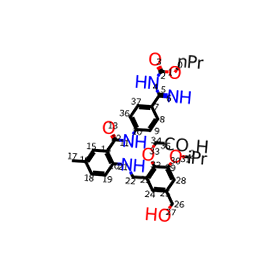 CCCOC(=O)NC(=N)c1ccc(NC(=O)c2cc(C)ccc2NCc2cc(CO)cc(OC(C)C)c2OCC(=O)O)cc1